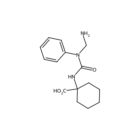 NCN(C(=O)NC1(C(=O)O)CCCCC1)c1ccccc1